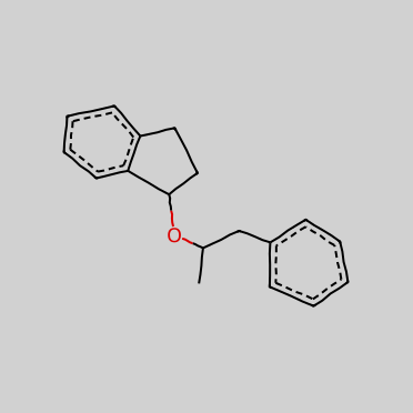 CC(Cc1ccccc1)OC1CCc2ccccc21